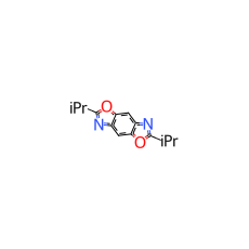 CC(C)c1nc2cc3oc(C(C)C)nc3cc2o1